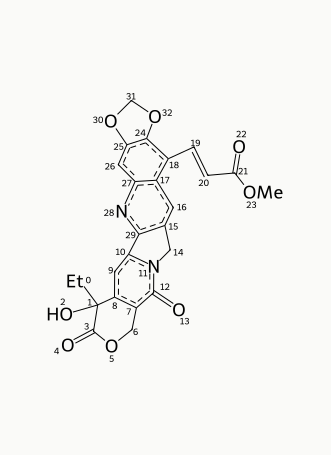 CCC1(O)C(=O)OCc2c1cc1n(c2=O)Cc2cc3c(C=CC(=O)OC)c4c(cc3nc2-1)OCO4